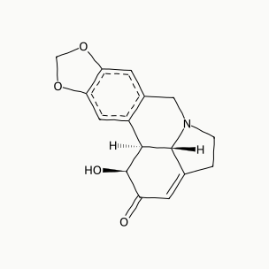 O=C1C=C2CCN3Cc4cc5c(cc4[C@H]([C@@H]1O)[C@@H]23)OCO5